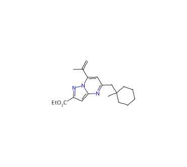 C=C(C)c1cc(CC2(C)CCCCC2)nc2cc(C(=O)OCC)nn12